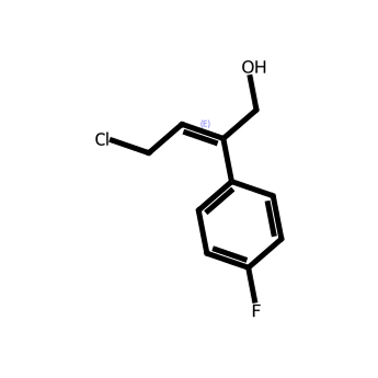 OC/C(=C/CCl)c1ccc(F)cc1